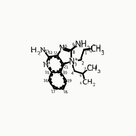 CCC[N+]1(CC(C)C)C(N)=Nc2c(N)nc3ccccc3c21